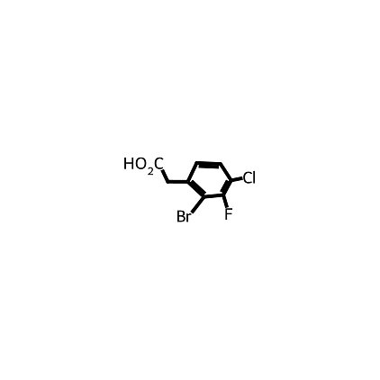 O=C(O)Cc1ccc(Cl)c(F)c1Br